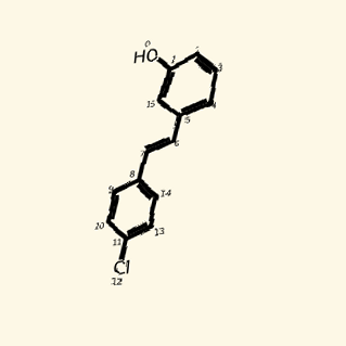 Oc1cccc(C=Cc2ccc(Cl)cc2)c1